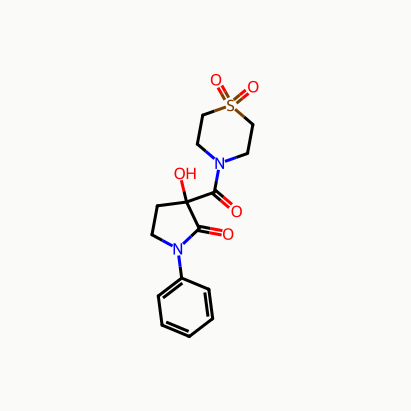 O=C(N1CCS(=O)(=O)CC1)C1(O)CCN(c2ccccc2)C1=O